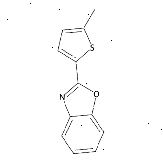 Cc1ccc(-c2nc3ccccc3o2)s1